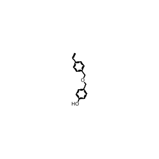 C=Cc1ccc(COCc2ccc(O)cc2)cc1